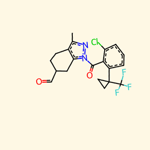 Cc1nn(C(=O)c2c(Cl)cccc2C2(C(F)(F)F)CC2)c2c1CCC(C=O)C2